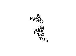 Cc1ncnc2c1ccn2[C@@H]1O[C@@H]2C(Cc3ccc4cc(Br)c(N)nc4c3)CC[C@]2(O)[C@H]1O